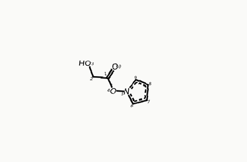 O=C(CO)On1cccc1